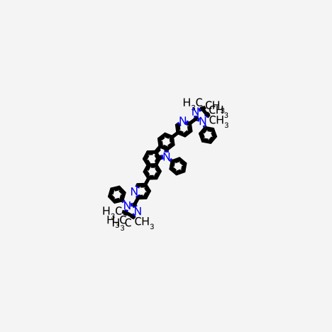 CC1(C)N=C(c2ccc(-c3ccc4c(ccc5c6ccc(-c7ccc(C8=NC(C)(C)C(C)(C)N8c8ccccc8)nc7)cc6n(-c6ccccc6)c45)c3)cn2)N(c2ccccc2)C1(C)C